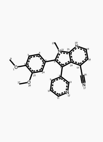 COc1ccc(-c2c(-c3cccnc3)c3c(C#N)ccnc3n2C)cc1OC